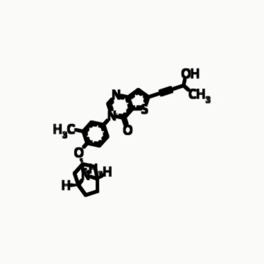 Cc1cc(-n2cnc3cc(C#CC(C)O)sc3c2=O)ccc1O[C@H]1C[C@H]2CC[C@@H](C1)N2C